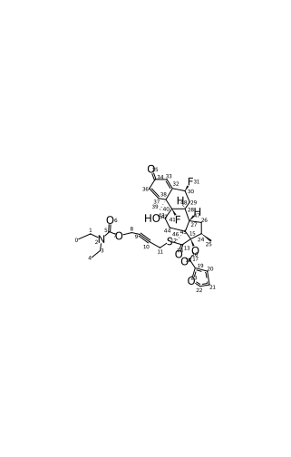 CCN(CC)C(=O)OCC#CCSC(=O)[C@@]1(OC(=O)c2ccco2)[C@H](C)C[C@H]2[C@@H]3C[C@H](F)C4=CC(=O)C=C[C@]4(C)[C@@]3(F)[C@@H](O)C[C@@]21C